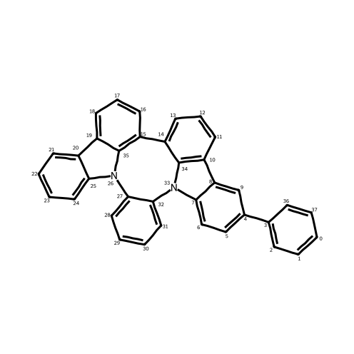 c1ccc(-c2ccc3c(c2)c2cccc4c5cccc6c7ccccc7n(c7ccccc7n3c24)c65)cc1